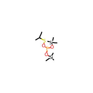 CC(C)SOP(O[Si](C)(C)C)O[Si](C)(C)C